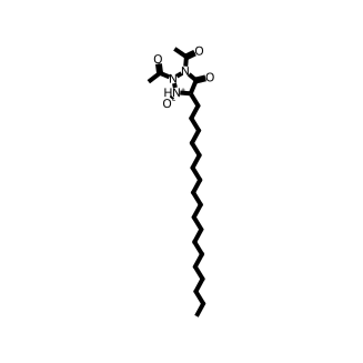 CCCCCCCCCCCCCCCCCCC1C(=O)N(C(C)=O)N(C(C)=O)[NH+]1[O-]